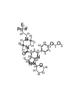 COCOc1ccc(-c2cc(C(=O)N3CC(C)(C)N(CCC(F)(F)F)CC3(C)C)c3c(C)nn(C4CCCCO4)c3n2)cc1